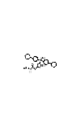 CCCCNC(=O)O[C@H]1CNC(C(O)(c2ccc(C3CCCCC3)cc2)c2ccc(C3CCCCC3)cc2)C1